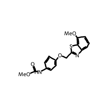 COC(=O)Nc1ccc(OCc2nc3cccc(OC)c3s2)cc1